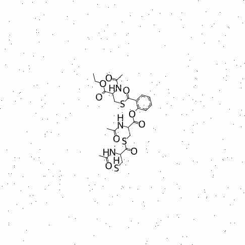 CCOC(=O)C(CSC(=O)c1ccccc1OC(=O)C(CSC(=O)C(CS)NC(C)=O)NC(C)=O)NC(C)=O